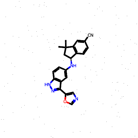 CC1(C)C[C@H](Nc2ccc3[nH]nc(-c4cnco4)c3c2)c2ccc(C#N)cc21